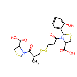 C[C@H](CSSCCC(=O)N1C(c2ccccc2O)SC[C@H]1C(=O)O)C(=O)N1CSC[C@H]1C(=O)O